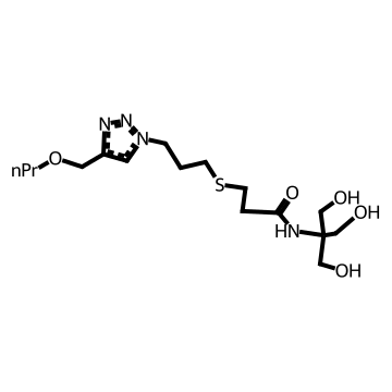 CCCOCc1cn(CCCSCCC(=O)NC(CO)(CO)CO)nn1